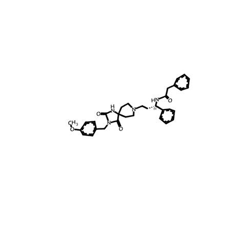 COc1ccc(CN2C(=O)NC3(CCN(CC[C@H](NC(=O)Cc4ccccc4)c4ccccc4)CC3)C2=O)cc1